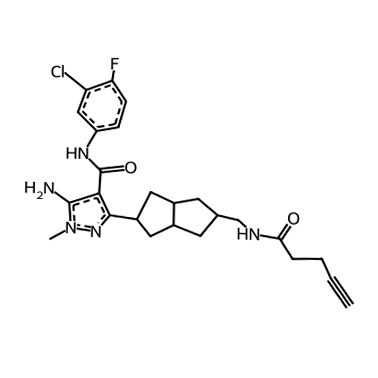 C#CCCC(=O)NCC1CC2CC(c3nn(C)c(N)c3C(=O)Nc3ccc(F)c(Cl)c3)CC2C1